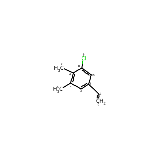 C=Cc1cc(C)c(C)c(Cl)c1